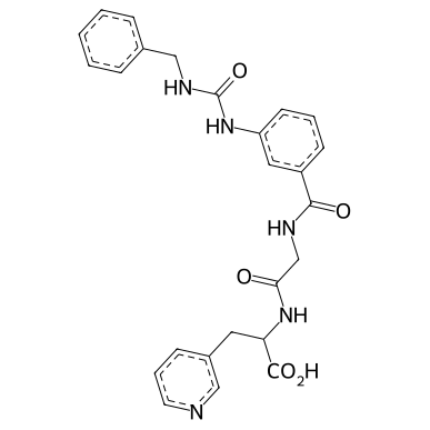 O=C(CNC(=O)c1cccc(NC(=O)NCc2ccccc2)c1)NC(Cc1cccnc1)C(=O)O